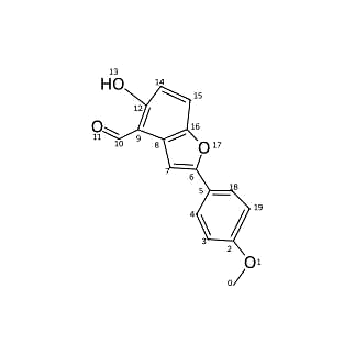 COc1ccc(-c2cc3c(C=O)c(O)ccc3o2)cc1